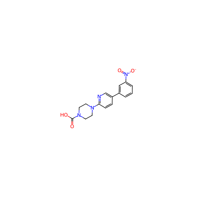 O=C(O)N1CCN(c2ccc(-c3cccc([N+](=O)[O-])c3)cn2)CC1